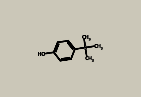 CS(C)(C)c1ccc(O)cc1